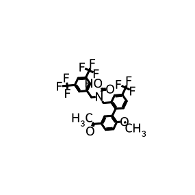 COc1ccc(C(C)=O)cc1-c1ccc(C(F)(F)F)cc1CN(Cc1cc(C(F)(F)F)cc(C(F)(F)F)c1)C(=O)O